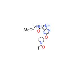 C=CC(=O)N1CCC[C@H](Oc2cnc3[nH]cc(C(=O)N[C@@H](C)COC)c3n2)C1